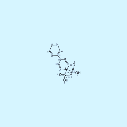 O=S(=O)(O)C1(S(=O)(=O)O)C=CC(c2ccccc2)C=C1